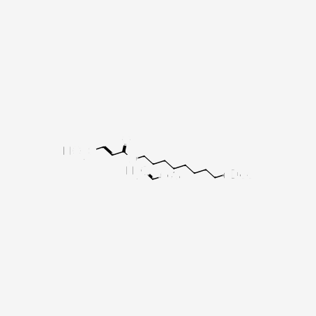 C=COC(C)=O.CCCCCCCCCCCCCCCCCCOC(=O)C=CC(=O)O